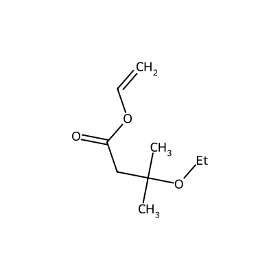 C=COC(=O)CC(C)(C)OCC